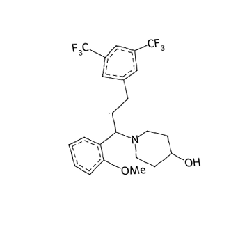 COc1ccccc1C([CH]Cc1cc(C(F)(F)F)cc(C(F)(F)F)c1)N1CCC(O)CC1